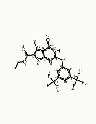 CCOC(=O)c1sc2nc(Cc3cc(C(F)(F)F)cc(C(F)(F)F)c3)[nH]c(=O)c2c1C